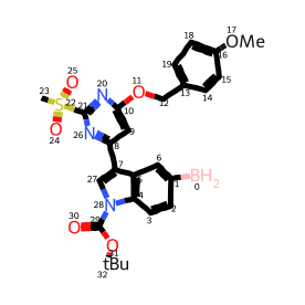 Bc1ccc2c(c1)c(-c1cc(OCc3ccc(OC)cc3)nc(S(C)(=O)=O)n1)cn2C(=O)OC(C)(C)C